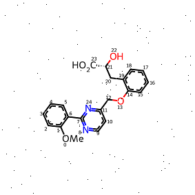 COc1ccccc1-c1nccc(COc2ccccc2C[C@@H](O)C(=O)O)n1